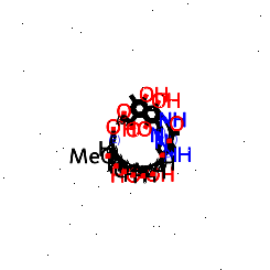 CO[C@H]1/C=C/O[C@@]2(C)Oc3c(C)c(O)c4c(O)c(c(/C=N/N5CCNCC5)c(O)c4c3C2=O)NC(=O)/C(C)=C/C=C/[C@H](C)[C@H](O)[C@@H](C)[C@@H](O)[C@@H](C)[C@H](OC(C)=O)[C@@H]1C